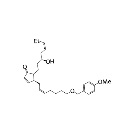 CC/C=C\C[C@@H](O)CCC1C(=O)C=C[C@@H]1C/C=C\CCCCOCc1ccc(OC)cc1